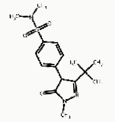 CN1N=C(C(C)(C)C)C(c2ccc(S(=O)(=O)N(C)C)cc2)C1=O